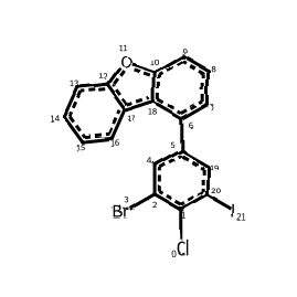 Clc1c(Br)cc(-c2cccc3oc4ccccc4c23)cc1I